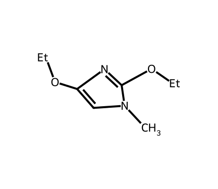 CCOc1cn(C)c(OCC)n1